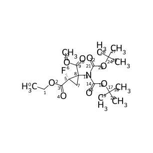 CCOC(=O)[C@]1(F)CC1(C(=O)OC)N(C(=O)OC(C)(C)C)C(=O)OC(C)(C)C